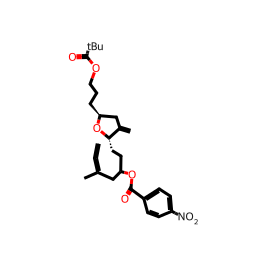 C=C=C(C)CC(CC[C@@H]1O[C@@H](CCCOC(=O)C(C)(C)C)CC1=C)OC(=O)c1ccc([N+](=O)[O-])cc1